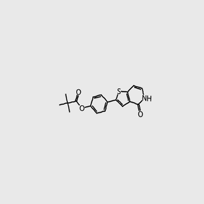 CC(C)(C)C(=O)Oc1ccc(-c2cc3c(=O)[nH]ccc3s2)cc1